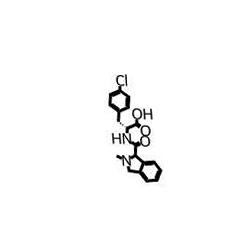 CN1Cc2ccccc2C1C(=O)N[C@H](Cc1ccc(Cl)cc1)C(=O)O